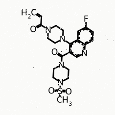 C=CC(=O)N1CCN(c2c(C(=O)N3CCN(S(C)(=O)=O)CC3)cnc3ccc(F)cc23)CC1